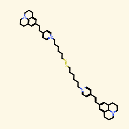 C1=C(/C=C/c2cc[n+](CCCCCCSSCCCCCC[n+]3ccc(CCc4cc5c6c(c4)CCCN6CCC5)cc3)cc2)C=C2CCCN3CCCC1C23